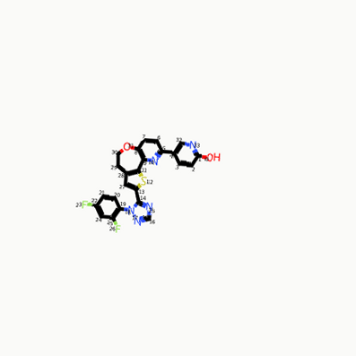 Oc1ccc(-c2ccc3c(n2)-c2sc(-c4ncnn4-c4ccc(F)cc4F)cc2CCO3)cn1